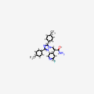 NC(=O)C(=Cn1nc(-c2ccc(C(F)(F)F)cc2)nc1-c1ccc(C(F)(F)F)cc1)c1ccnc(F)c1